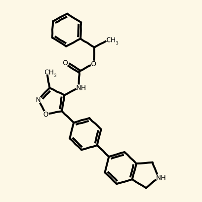 Cc1noc(-c2ccc(-c3ccc4c(c3)CNC4)cc2)c1NC(=O)OC(C)c1ccccc1